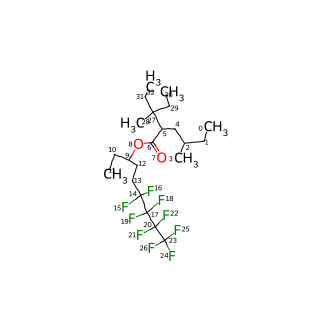 CCC(C)CC(C(=O)OC(CC)CCC(F)(F)C(F)(F)C(F)(F)C(F)(F)F)C(C)(CC)CC